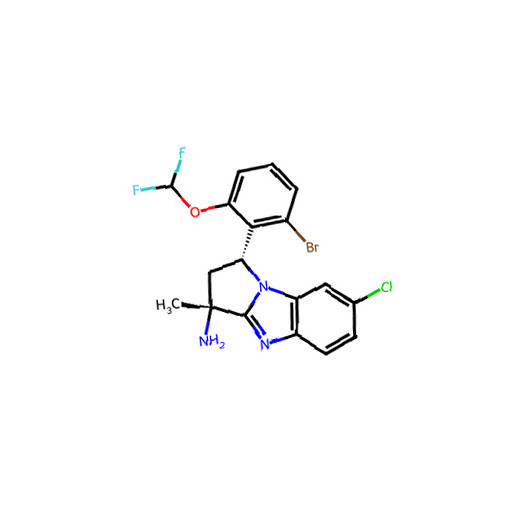 C[C@@]1(N)C[C@H](c2c(Br)cccc2OC(F)F)n2c1nc1ccc(Cl)cc12